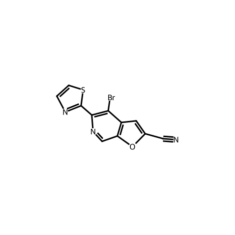 N#Cc1cc2c(Br)c(-c3nccs3)ncc2o1